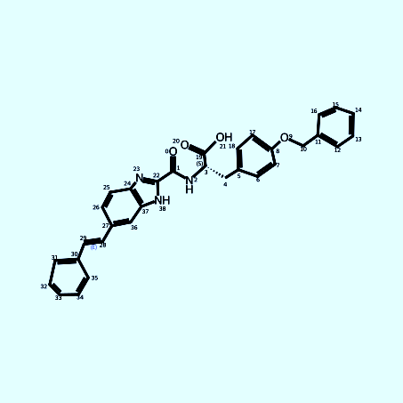 O=C(N[C@@H](Cc1ccc(OCc2ccccc2)cc1)C(=O)O)c1nc2ccc(/C=C/c3ccccc3)cc2[nH]1